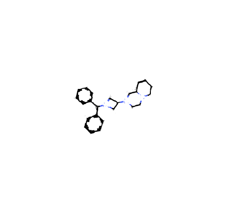 c1ccc(C(c2ccccc2)N2CC(N3CCN4CCCCC4C3)C2)cc1